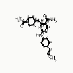 COC[C@H]1CC[C@H](Nc2ncc(C(N)=O)c(NC3CCN(C(C)=O)CC3)n2)CC1